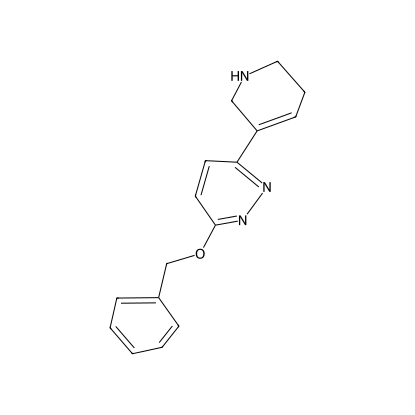 C1=C(c2ccc(OCc3ccccc3)nn2)CNCC1